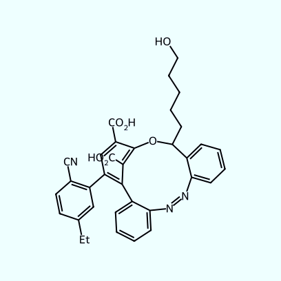 CCc1ccc(C#N)c(-c2cc(C(=O)O)c3c(C(=O)O)c2-c2ccccc2N=Nc2ccccc2C(CCCCCO)O3)c1